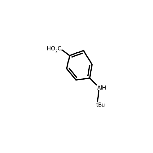 C[C](C)(C)[AlH][c]1ccc(C(=O)O)cc1